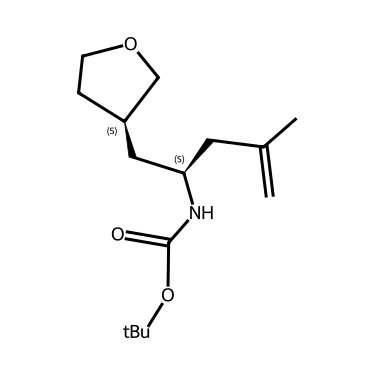 C=C(C)C[C@H](C[C@H]1CCOC1)NC(=O)OC(C)(C)C